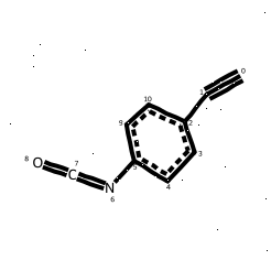 C#Cc1ccc(N=C=O)cc1